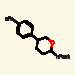 CCCCCC1CCC(c2ccc(CCC)cc2)CO1